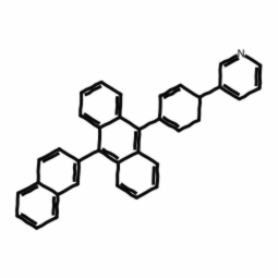 C1=CC(c2cccnc2)CC=C1c1c2ccccc2c(-c2ccc3ccccc3c2)c2ccccc12